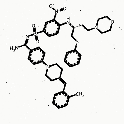 Cc1ccccc1C=C1CCN(c2ccc(/C(N)=N\S(=O)(=O)c3ccc(N[C@H](CCN4CCOCC4)CSc4ccccc4)c([N+](=O)[O-])c3)cc2)CC1